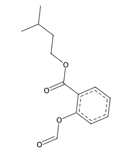 CC(C)CCOC(=O)c1ccccc1OC=O